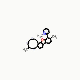 C=C1/C=C\C=C/Cc2c(ccc3c2oc2c(-c4cccc[n+]4C)c(C)ccc23)/C=C\1